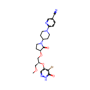 COC[C@@H](CO[C@H]1CCN(C2CCN(c3ccc(C#N)cn3)CC2)C1=O)Oc1cn[nH]c(=O)c1Br